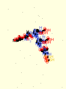 CN(Cc1cnc2nc(N)nc(N)c2n1)c1ccc(C(=O)N[C@@H](CCC(=O)O)C(=O)O)cc1.CN(Cc1cnc2nc(N)nc(N)c2n1)c1ccc(C(=O)N[C@@H](CCC(=O)O)C(=O)O)cc1.CO[C@@]12[C@H](COC(N)=O)C3=C(C(=O)C(C)=C(N)C3=O)N1C[C@@H]1N[C@@H]12.COc1c2occc2cc2ccc(=O)oc12.COc1c2occc2cc2ccc(=O)oc12.O=S(=O)([O-])CCS.O=S(=O)([O-])CCS.S=c1nc[nH]c2nc[nH]c12.[Na+].[Na+]